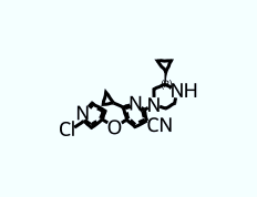 N#Cc1cc(Oc2ccnc(Cl)c2)c(C2CC2)nc1N1CCN[C@H](C2CC2)C1